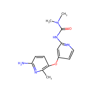 Cc1nc(N)ccc1Oc1ccnc(NC(=O)N(C)C)c1